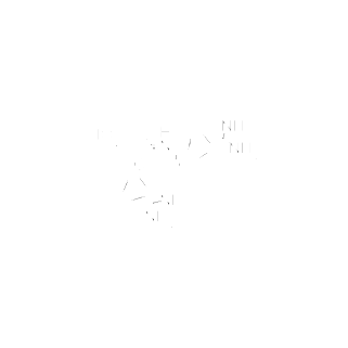 N=C(N)c1ccc(C(=O)N[C@H](CCC(=O)O)COc2cccc(C(=N)N)c2)cc1